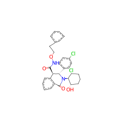 O=C(NOCCc1ccccc1)[C@@H]1c2ccccc2C(=O)N([C@H]2CCCC[C@@H]2O)[C@H]1c1ccc(Cl)cc1Cl